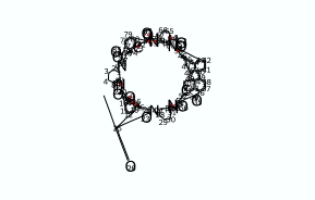 CC12CCCC[C@@H]1N1C(=O)c3ccc4c5c(ccc(c35)C1=O)C(=O)N(C4=O)C1CCCC[C@@H]1N1C(=O)c3ccc4c5ccc6c7c(ccc(c8ccc(c3c48)C1=O)c75)C(=O)N(C6=O)[C@H]1CCCC[C@@H]1N1C(=O)c3ccc4c5c(ccc(c35)C1=O)C(=O)N2C4=O